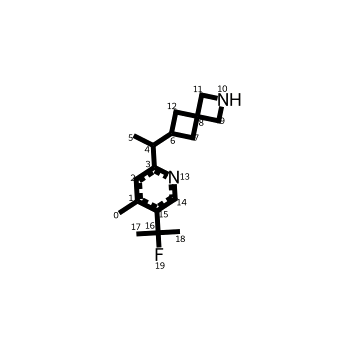 Cc1cc(C(C)C2CC3(CNC3)C2)ncc1C(C)(C)F